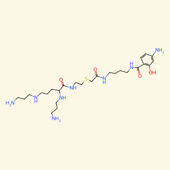 NCCCNCCCC(NCCCN)C(=O)NCCSCC(=O)NCCCCNC(=O)c1ccc(N)cc1O